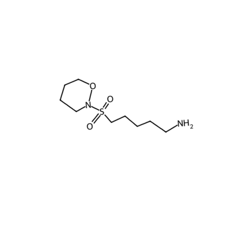 NCCCCCS(=O)(=O)N1CCCCO1